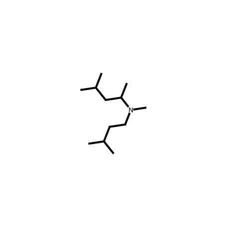 CC(C)CCN(C)C(C)CC(C)C